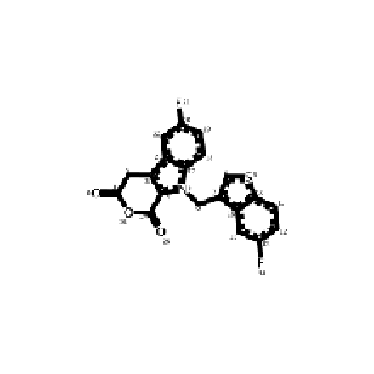 O=C1Cc2c(n(Cc3csc4ccc(F)cc34)c3ccc(F)cc23)C(=O)O1